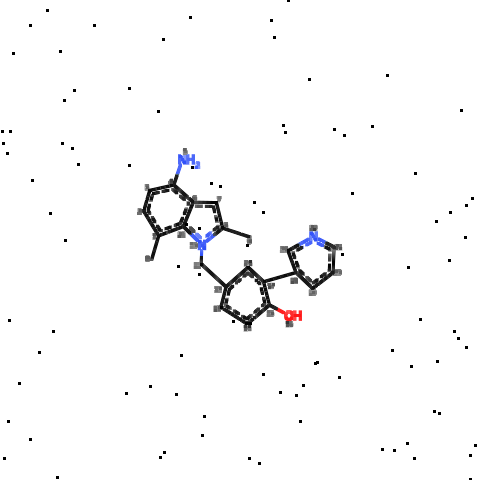 Cc1ccc(N)c2cc(C)n(Cc3ccc(O)c(-c4cccnc4)c3)c12